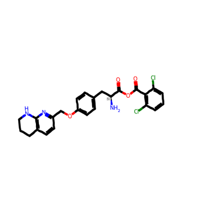 N[C@@H](Cc1ccc(OCc2ccc3c(n2)NCCC3)cc1)C(=O)OC(=O)c1c(Cl)cccc1Cl